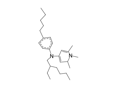 CCCCCc1ccc(N(CC(CC)CCCC)C2=CC(C)N(C)C(C)=C2)cc1